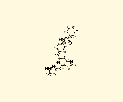 Cc1cc(Nc2nc(Sc3ccc(NC(=O)C4CCCNC4)cc3)cc3nccn23)n[nH]1